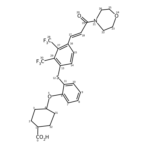 O=C(O)C1CCC(Oc2ccccc2Sc2ccc(C=CC(=O)N3CCOCC3)c(C(F)(F)F)c2C(F)(F)F)CC1